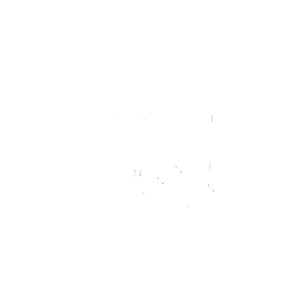 COc1cc2c(cc1OCc1ccccc1)CCn1c-2cc(N(CCN2CCCC2=O)c2c(C)cc(C)cc2C)nc1=O